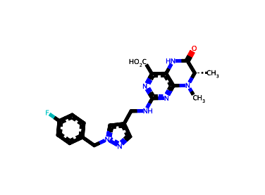 C[C@H]1C(=O)Nc2c(C(=O)O)nc(NCc3cnn(Cc4ccc(F)cc4)c3)nc2N1C